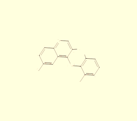 O=C(O)c1cccc(Cl)c1Nc1c(S)cnc2ccc(Cl)cc12